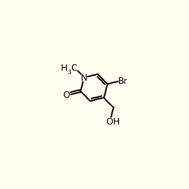 Cn1cc(Br)c(CO)cc1=O